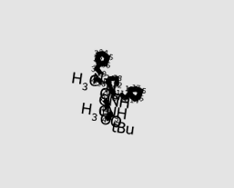 C[C@H](NC(=O)OC(C)(C)C)C(=O)N[C@@H](CCc1ccccc1)C(=O)N1CCC[C@H]1CN(C)CCc1ccccc1